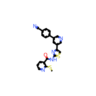 CSc1ncccc1C(=O)Nc1nc(-c2cncc(-c3ccc(C#N)cc3)c2)cs1